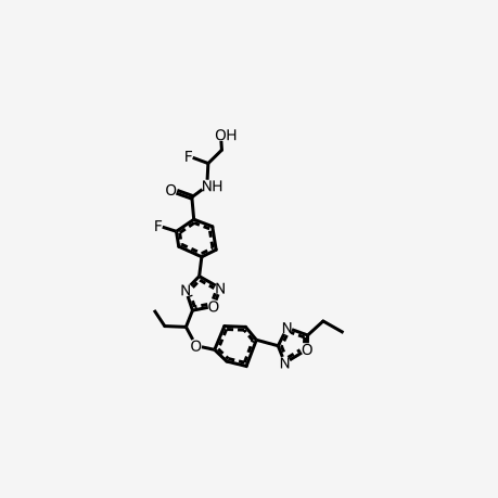 CCc1nc(-c2ccc(OC(CC)c3nc(-c4ccc(C(=O)NC(F)CO)c(F)c4)no3)cc2)no1